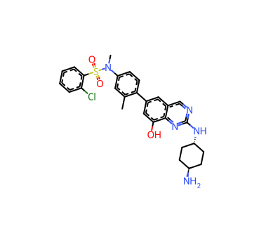 Cc1cc(N(C)S(=O)(=O)c2ccccc2Cl)ccc1-c1cc(O)c2nc(N[C@H]3CC[C@H](N)CC3)ncc2c1